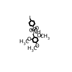 COc1cc(OC)c(CNS(=O)(=O)c2ccc(I)cc2)c(OC)c1